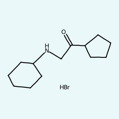 Br.O=C(CNC1CCCCC1)C1CCCC1